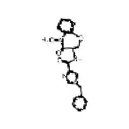 CN1C(=O)C(NC(=O)c2cn(Cc3ccccc3)cn2)COc2ccccc21